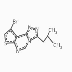 CC(C)Cc1nnc2c3c(Br)csc3ncn12